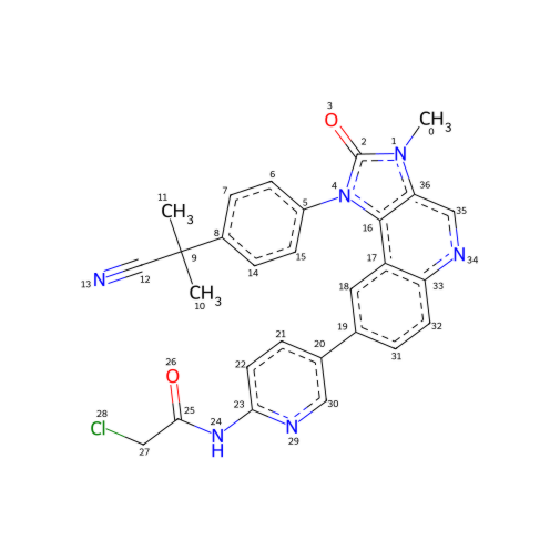 Cn1c(=O)n(-c2ccc(C(C)(C)C#N)cc2)c2c3cc(-c4ccc(NC(=O)CCl)nc4)ccc3ncc21